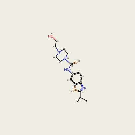 CC(C)c1nc2ccc(NC(=S)N3CCN(CCO)CC3)cc2s1